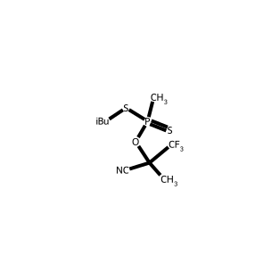 CCC(C)SP(C)(=S)OC(C)(C#N)C(F)(F)F